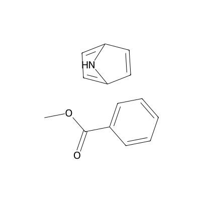 COC(=O)c1ccccc1.c1cc2ccc1[nH]2